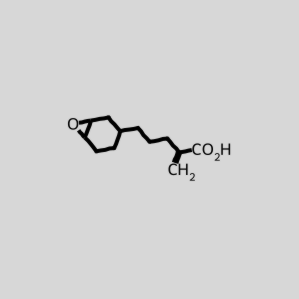 C=C(CCCC1CCC2OC2C1)C(=O)O